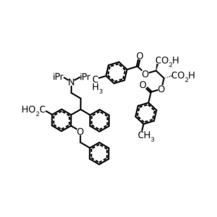 CC(C)N(CCC(c1ccccc1)c1cc(C(=O)O)ccc1OCc1ccccc1)C(C)C.Cc1ccc(C(=O)O[C@@H](C(=O)O)[C@@H](OC(=O)c2ccc(C)cc2)C(=O)O)cc1